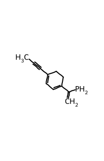 C=C(P)C1=CC=C(C#CC)CC1